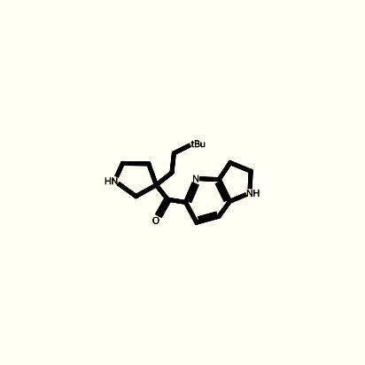 CC(C)(C)CCC1(C(=O)c2ccc3c(n2)CCN3)CCNC1